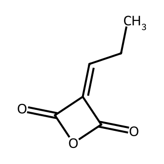 CCC=C1C(=O)OC1=O